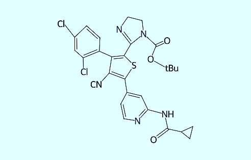 [C-]#[N+]c1c(-c2ccnc(NC(=O)C3CC3)c2)sc(C2=NCCN2C(=O)OC(C)(C)C)c1-c1ccc(Cl)cc1Cl